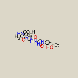 CCC(O)Cc1ccc(-n2ccc(NC(=O)N3CCN(C(=O)C(C)(C)NC(=O)O)CC3)nc2=O)cc1